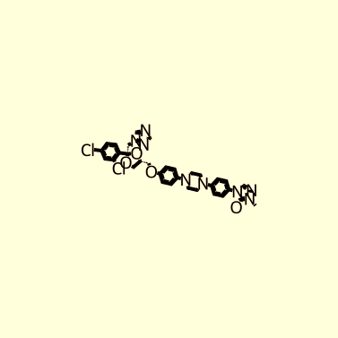 Cn1ncn(-c2ccc(N3CCN(c4ccc(OC[C@@H]5CO[C@@](Cn6cncn6)(c6ccc(Cl)cc6Cl)O5)cc4)CC3)cc2)c1=O